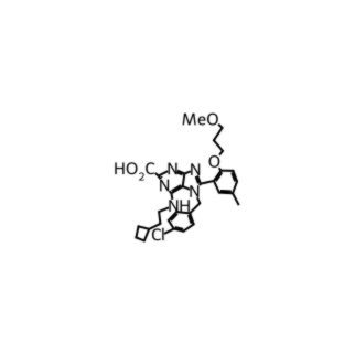 COCCCOc1ccc(C)cc1-c1nc2nc(C(=O)O)nc(NCCC3CCC3)c2n1Cc1ccc(Cl)cc1